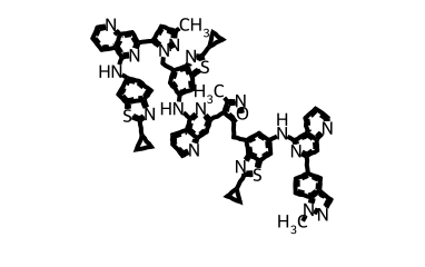 Cc1cc(-c2cc3ncccc3c(Nc3ccc4nc(C5CC5)sc4c3)n2)n(Cc2cc(Nc3nc(-c4c(C)noc4Cc4cc(Nc5nc(-c6ccc7c(cnn7C)c6)cc6ncccc56)cc5sc(C6CC6)nc45)cc4ncccc34)cc3sc(C4CC4)nc23)n1